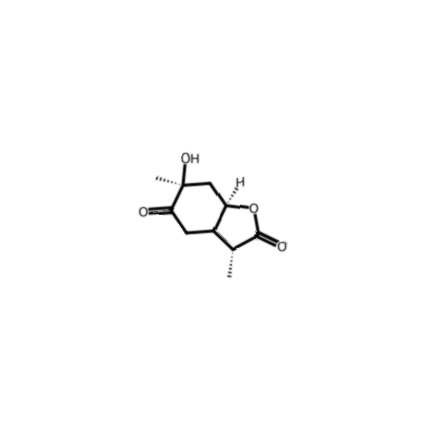 C[C@H]1C(=O)O[C@@H]2C[C@](C)(O)C(=O)CC21